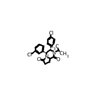 CC(C)N1C(=O)C2CCC(=O)N2[C@@H](c2cccc(Cl)c2)[C@H]1c1ccc(Cl)cc1